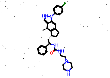 C[C@H]1C2=CNN(c3ccc(F)cc3)C2=CC2=C1[C@@H](CC(NC(=O)NCCN1CCNCC1)c1ccccc1)CC2